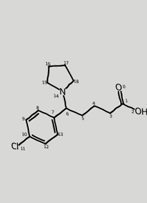 O=C(O)CCCC(c1ccc(Cl)cc1)N1CCCC1